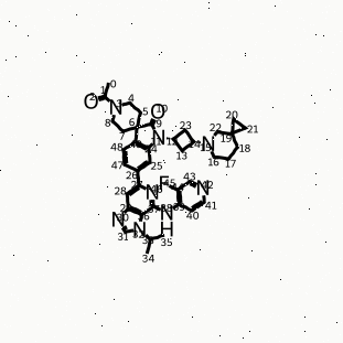 CC(=O)N1CCC2(CC1)C(=O)N([C@H]1C[C@@H](N3CCCC4(CC4)C3)C1)c1cc(-c3cc4ncn(C(C)C)c4c(Nc4ccncc4F)n3)ccc12